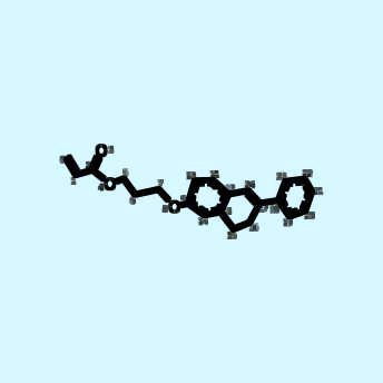 C=CC(=O)OCCCOc1ccc2c(c1)CCC(c1ccccc1)=C2